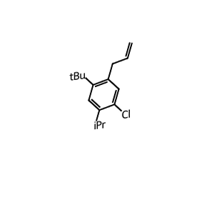 C=CCc1cc(Cl)c(C(C)C)cc1C(C)(C)C